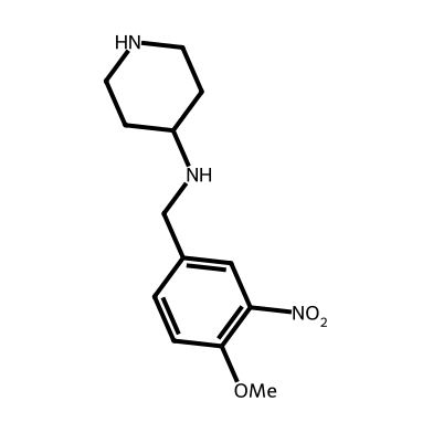 COc1ccc(CNC2CCNCC2)cc1[N+](=O)[O-]